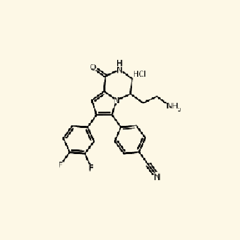 Cl.N#Cc1ccc(-c2c(-c3ccc(F)c(F)c3)cc3n2C(CCN)CNC3=O)cc1